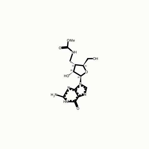 COC(=O)NC[C@H]1[C@@H](O)[C@H](n2cnc3c(=O)[nH]c(N)nc32)O[C@@H]1CO